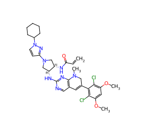 C=CC(=O)N[C@H]1CN(c2ccn(C3CCCCC3)n2)C[C@H]1Nc1ncc2c(n1)N(C)CC(c1c(Cl)c(OC)cc(OC)c1Cl)=C2